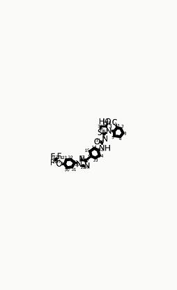 Cc1ccccc1N1/C(=N/C(=O)Nc2ccc(-c3ncn(-c4ccc(OC(F)(F)F)cc4)n3)cc2)SCC1O